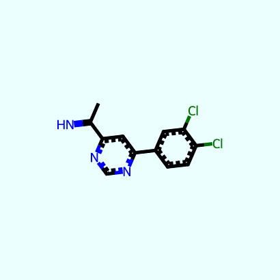 CC(=N)c1cc(-c2ccc(Cl)c(Cl)c2)ncn1